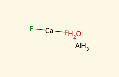 O.[AlH3].[F][Ca][F]